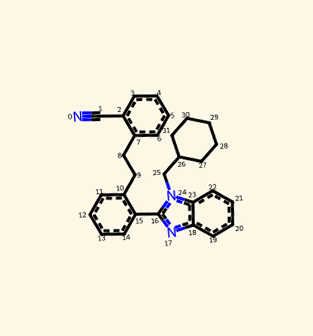 N#Cc1ccccc1CCc1ccccc1-c1nc2ccccc2n1CC1CCCCC1